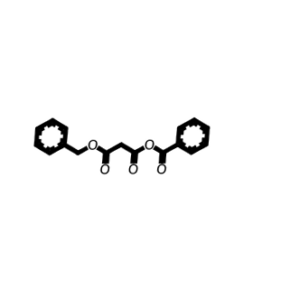 O=C(CC(=O)OC(=O)c1ccccc1)OCc1ccccc1